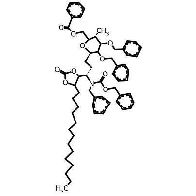 CCCCCCCCCCCCCCC1OC(=O)O[C@H]1[C@H](CC[C@H]1OC(COC(=O)c2ccccc2)[C@H](C)[C@@H](OCc2ccccc2)C1OCc1ccccc1)N(Cc1ccccc1)C(=O)OCc1ccccc1